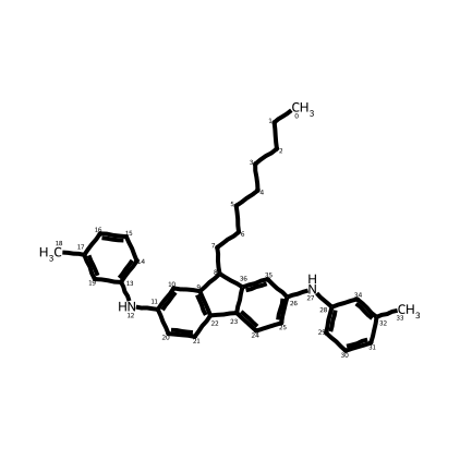 CCCCCCCCC1c2cc(Nc3cccc(C)c3)ccc2-c2ccc(Nc3cccc(C)c3)cc21